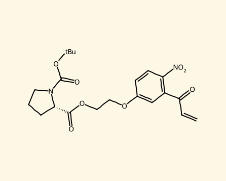 C=CC(=O)c1cc(OCCOC(=O)[C@@H]2CCCN2C(=O)OC(C)(C)C)ccc1[N+](=O)[O-]